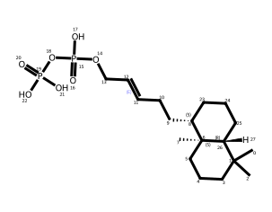 CC1(C)CCC[C@@]2(C)[C@H](CC/C=C/COP(=O)(O)OP(=O)(O)O)CCC[C@H]12